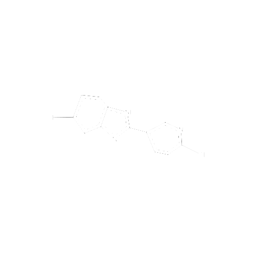 Clc1ccc2[nH]c(-c3ccc(Cl)nc3)nc2c1